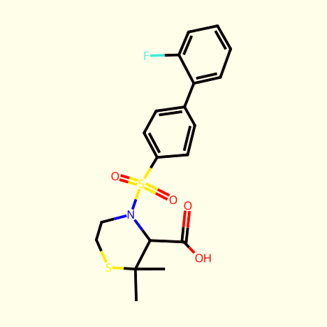 CC1(C)SCCN(S(=O)(=O)c2ccc(-c3ccccc3F)cc2)C1C(=O)O